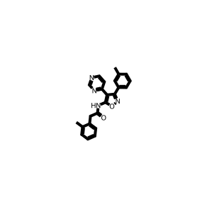 Cc1cccc(-c2noc(NC(=O)Cc3ccccc3C)c2-c2ccncn2)c1